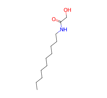 CCCCCCCCCCNC(=O)CO